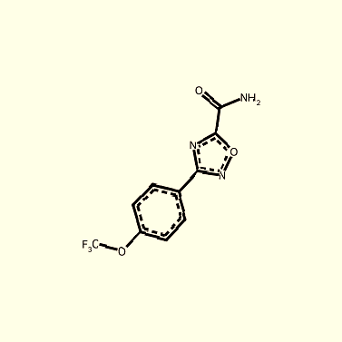 NC(=O)c1nc(-c2ccc(OC(F)(F)F)cc2)no1